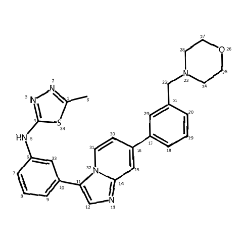 Cc1nnc(Nc2cccc(-c3cnc4cc(-c5cccc(CN6CCOCC6)c5)ccn34)c2)s1